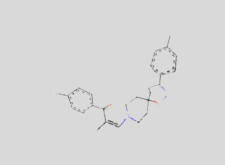 CC(=CN1CCC2(CC1)CC(c1ccc(C)cc1)=NO2)C(=O)c1ccc(C(C)(C)C)cc1